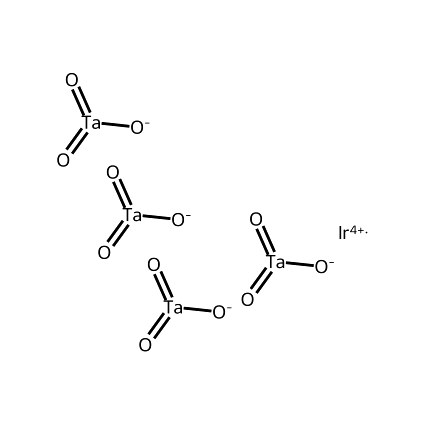 [Ir+4].[O]=[Ta](=[O])[O-].[O]=[Ta](=[O])[O-].[O]=[Ta](=[O])[O-].[O]=[Ta](=[O])[O-]